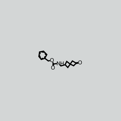 O=C1CC2(C1)CC(CNC(=O)OCc1ccccc1)C2